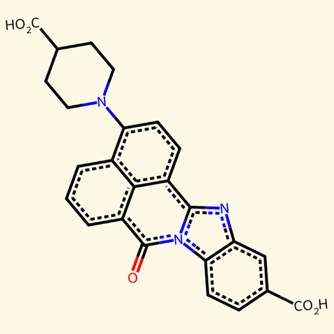 O=C(O)c1ccc2c(c1)nc1c3ccc(N4CCC(C(=O)O)CC4)c4cccc(c(=O)n21)c43